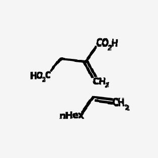 C=C(CC(=O)O)C(=O)O.C=CCCCCCC